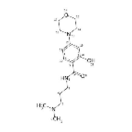 CN(C)CCCNC(=O)c1ccc(N2CCOCC2)cc1O